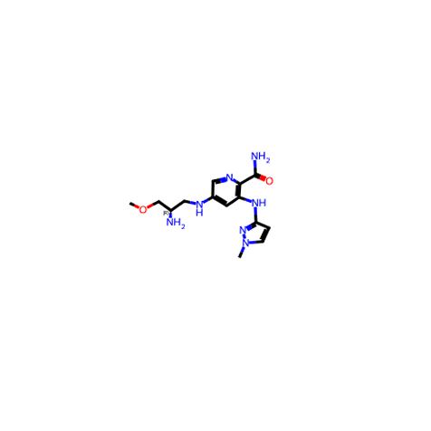 COC[C@H](N)CNc1cnc(C(N)=O)c(Nc2ccn(C)n2)c1